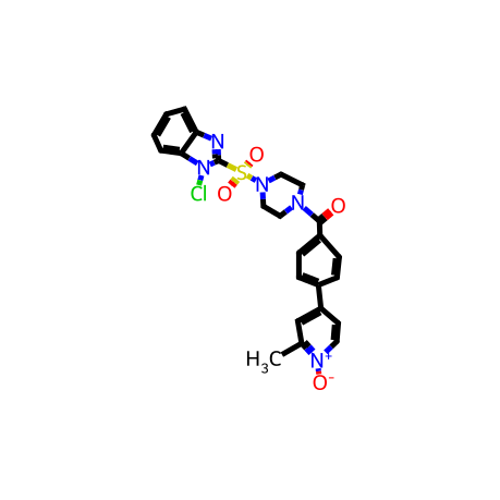 Cc1cc(-c2ccc(C(=O)N3CCN(S(=O)(=O)c4nc5ccccc5n4Cl)CC3)cc2)cc[n+]1[O-]